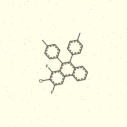 Cc1ccc(-c2c(-c3ccc(C)cc3)c3c(F)c(Cl)c(F)cc3c3ccccc23)cc1